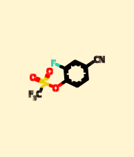 N#Cc1ccc(OS(=O)(=O)C(F)(F)F)c(F)c1